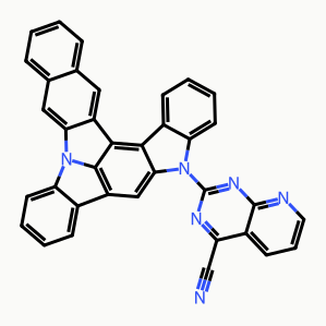 N#Cc1nc(-n2c3ccccc3c3c4c5cc6ccccc6cc5n5c6ccccc6c(cc32)c45)nc2ncccc12